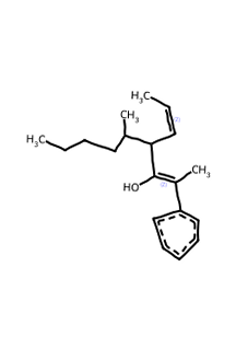 C/C=C\C(/C(O)=C(\C)c1ccccc1)C(C)CCCC